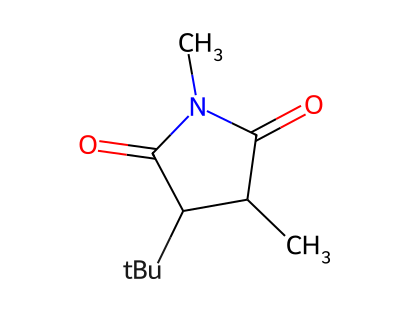 CC1C(=O)N(C)C(=O)C1C(C)(C)C